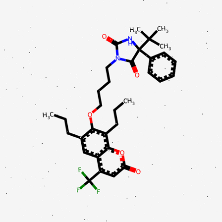 CCCc1cc2c(C(F)(F)F)cc(=O)oc2c(CCC)c1OCCCCN1C(=O)NC(c2ccccc2)(C(C)(C)C)C1=O